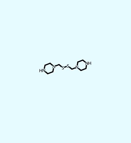 C1CN(CSSCN2CCNCC2)CCN1